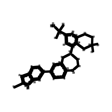 Cc1nc2ccc(-c3ccc4c(c3)CN(c3nc(C(C)(C)O)nc5c3CC(C)(C)CC5)CCO4)cc2[nH]1